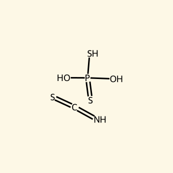 N=C=S.OP(O)(=S)S